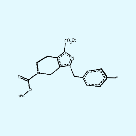 CCOC(=O)c1nn(Cc2ccc(F)cc2)c2c1CCN(C(=O)OC(C)(C)C)C2